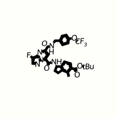 Cc1c(C(=O)OC(C)(C)C)ccc2c1CC[C@@H]2NC(=O)c1cc(C(=O)NCc2ccc(OC(F)(F)F)cc2)nc2c(F)cnn12